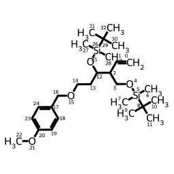 C=CC(CO[Si](C)(C)C(C)(C)C)C(CCOCc1ccc(OC)cc1)O[Si](C)(C)C(C)(C)C